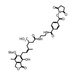 COc1c(C)c2c(c(O)c1CC=C(C)CC(CC(=O)NCCNC(=O)c1ccc(C(=O)ON3C(=O)CCC3=O)cc1)C(=O)O)C(=O)OC2